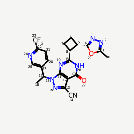 Cc1nnc([C@H]2CC[C@@H]2c2nc3c(c(C#N)nn3C(C)c3ccc(C(F)(F)F)nc3)c(=O)[nH]2)o1